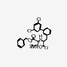 COC(=O)C(Cc1cccc(-c2cc(Cl)cc(Cl)c2)c1)N[C@@H](CC(C)C)C(=O)OCc1ccccc1